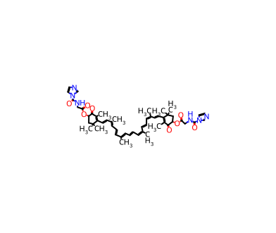 CC(C=CC=C(C)C=CC1=C(C)C(=O)C(OC(=O)CNC(=O)n2ccnc2)CC1(C)C)=CC=CC=C(C)C=CC=C(C)C=CC1=C(C)C(=O)C(OC(=O)CNC(=O)n2ccnc2)CC1(C)C